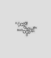 COc1ccc(C(=O)N2CC(NC(=O)OC(C)(C)C)C2)c(NC(=O)N2CC[C@](c3ccc(C)c(F)c3)(c3ncns3)C2)c1